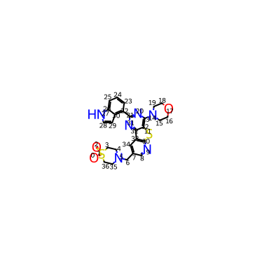 O=S1(=O)CCN(Cc2cnc3sc4c(N5CCOCC5)nc(-c5cccc6[nH]ccc56)nc4c3c2)CC1